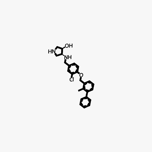 Cc1c(COc2ccc(CN[C@@H]3CNC[C@H]3O)cc2Cl)cccc1-c1ccccc1